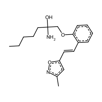 CCCCCC(N)(O)COc1ccccc1C=Cc1cc(C)no1